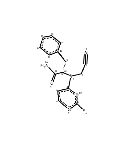 N#CCN(c1ccnc(F)n1)[C@@H](Cc1ccccc1)C(N)=O